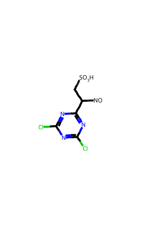 O=NC(CS(=O)(=O)O)c1nc(Cl)nc(Cl)n1